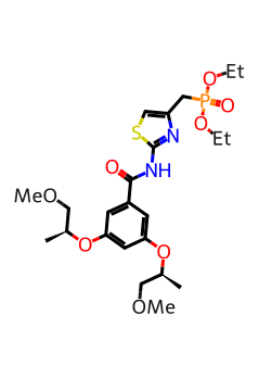 CCOP(=O)(Cc1csc(NC(=O)c2cc(O[C@@H](C)COC)cc(O[C@@H](C)COC)c2)n1)OCC